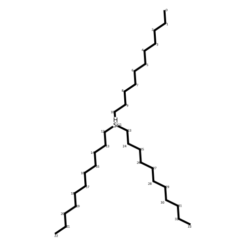 CCCCCCCCCCC[SiH](CCCCCCCCCCC)CCCCCCCCCCC